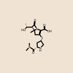 C[C@@H](O)[C@H]1C(=O)N2C(C(=O)O)=C(S[C@@H]3CN[C@H](C(=O)N(C)C)C3)CC12C